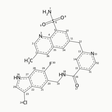 Cc1cnc2c(S(N)(=O)=O)cc(Cc3cc(C(=O)NCc4cc5c(Cl)c[nH]c5cc4F)ccn3)cc2c1